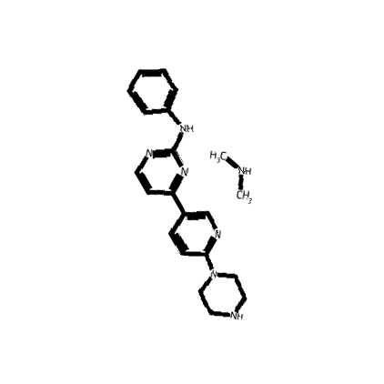 CNC.c1ccc(Nc2nccc(-c3ccc(N4CCNCC4)nc3)n2)cc1